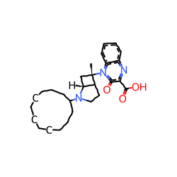 C[C@]1(n2c(=O)c(C(=O)O)nc3ccccc32)C[C@@H]2C1CCN2C1CCCCCCCCCCC1